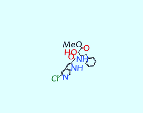 COC(=O)[C@@H](O)[C@@H](Cc1ccccc1)NC(=O)c1cc2cc(Cl)ncc2[nH]1